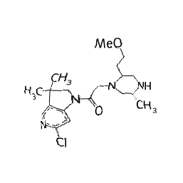 COCCC1CN[C@H](C)CN1CC(=O)N1CC(C)(C)c2cnc(Cl)cc21